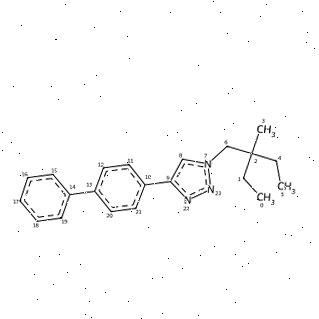 CCC(C)(CC)Cn1cc(-c2ccc(-c3ccccc3)cc2)nn1